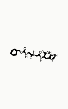 O=C(CNC(=O)OCc1ccccc1)NCC(=O)NC(Cc1c[nH]cn1)C(=O)O